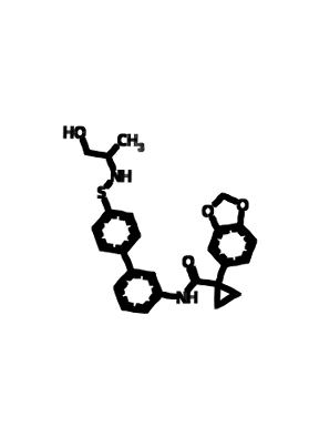 CC(CO)NSc1ccc(-c2cccc(NC(=O)C3(c4ccc5c(c4)OCO5)CC3)c2)cc1